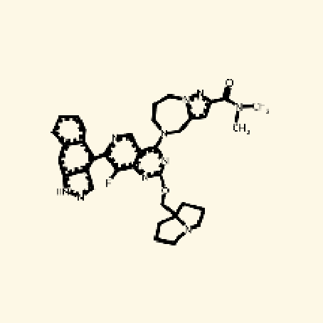 CN(C)C(=O)c1cc2n(n1)CCCN(c1nc(OCC34CCCN3CCC4)nc3c(F)c(-c4c5ccccc5cc5[nH]ncc45)ncc13)C2